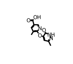 Cc1cc(Oc2ncc(C(=O)O)cc2C)c(=O)[nH]n1